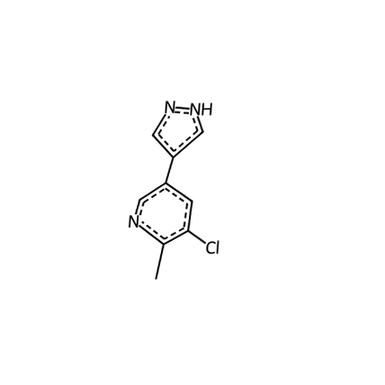 Cc1ncc(-c2cn[nH]c2)cc1Cl